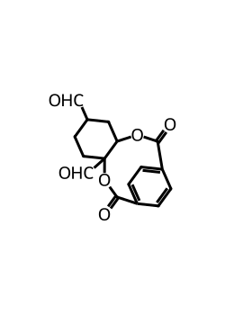 O=CC1CCC2(C=O)OC(=O)c3ccc(cc3)C(=O)OC2C1